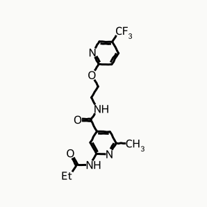 CCC(=O)Nc1cc(C(=O)NCCOc2ccc(C(F)(F)F)cn2)cc(C)n1